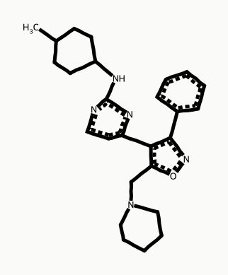 CC1CCC(Nc2nccc(-c3c(-c4ccccc4)noc3CN3CCCCC3)n2)CC1